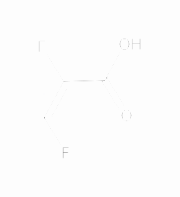 O=C(O)/C(F)=C\F